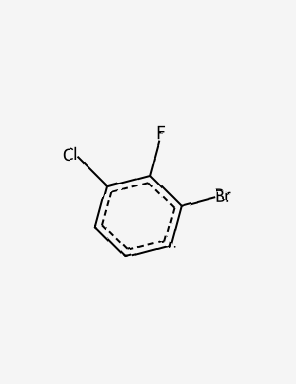 Fc1c(Br)[c]ccc1Cl